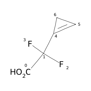 O=C(O)C(F)(F)C1=CC1